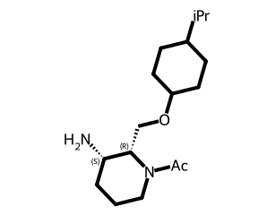 CC(=O)N1CCC[C@H](N)[C@@H]1COC1CCC(C(C)C)CC1